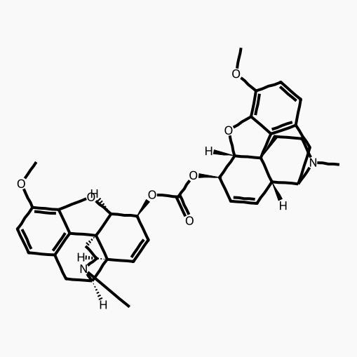 COc1ccc2c3c1O[C@H]1[C@H](OC(=O)O[C@H]4C=C[C@H]5[C@H]6Cc7ccc(OC)c8c7[C@@]5(CCN6C)[C@H]4O8)C=C[C@H]4C(C2)N(C)CC[C@@]341